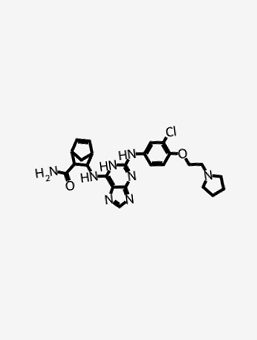 NC(=O)C1C2C=CC(C2)C1Nc1[nH]c(Nc2ccc(OCCN3CCCC3)c(Cl)c2)nc2ncnc1-2